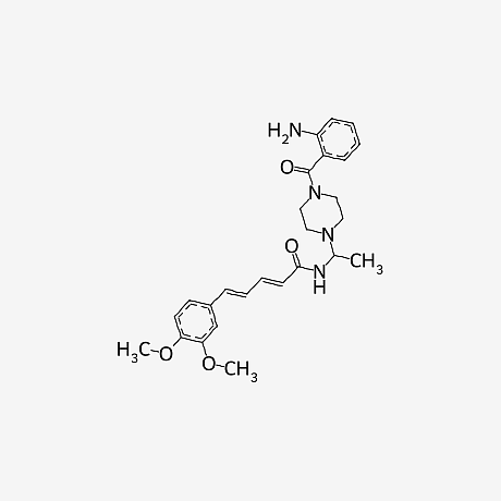 COc1ccc(C=CC=CC(=O)NC(C)N2CCN(C(=O)c3ccccc3N)CC2)cc1OC